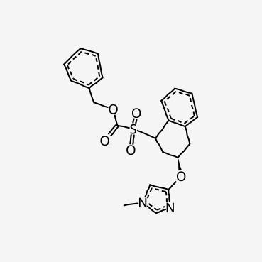 Cn1cnc(O[C@@H]2Cc3ccccc3C(S(=O)(=O)C(=O)OCc3ccccc3)C2)c1